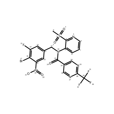 CS(=O)(=O)c1ncccc1N(Cc1cc(F)c(Br)c([N+](=O)[O-])c1)C(=O)c1cnc(C(F)(F)F)nc1